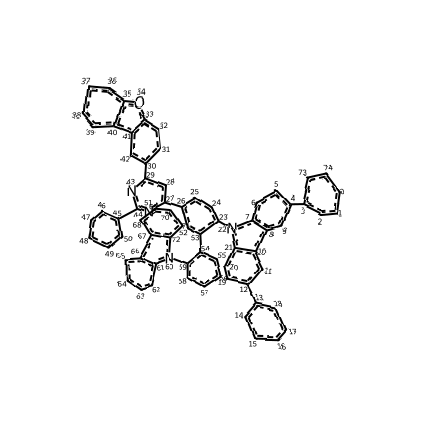 c1ccc(-c2ccc3c(c2)c2cc(-c4ccccc4)ccc2n3-c2ccc(-c3cc(-c4ccc5oc6ccccc6c5c4)nc(-c4ccccc4)n3)cc2-c2ccccc2-n2c3ccccc3c3ccccc32)cc1